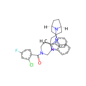 Cc1nc2ccccc2n1[C@H]1C[C@H]2CC[C@@H](C1)N2CCC1(c2ccccc2)CCN(C(=O)c2ccc(F)cc2Cl)CC1